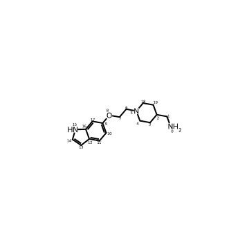 NCC1CCN(CCOc2ccc3cc[nH]c3c2)CC1